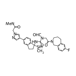 C=[SiH]C1(NC(=O)N(C=O)CC(=O)N2CCCc3cc(F)ccc3C2)CCc2cc(-c3cnn(CC(=O)NC)c3)ccc21